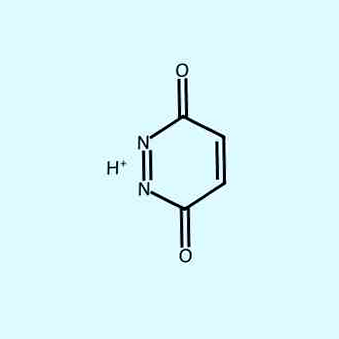 O=C1C=CC(=O)N=N1.[H+]